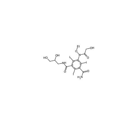 CCON(C(=O)CO)c1c(I)c(C(N)=O)c(I)c(C(=O)NCC(O)CO)c1I